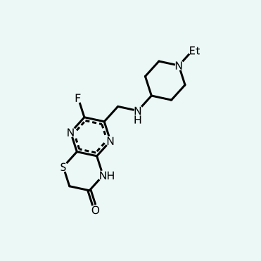 [CH2]CN1CCC(NCc2nc3c(nc2F)SCC(=O)N3)CC1